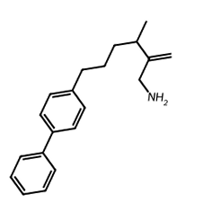 C=C(CN)C(C)CCCc1ccc(-c2ccccc2)cc1